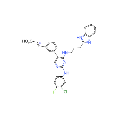 O=C(O)/C=C/c1cccc(-c2cnc(Nc3ccc(F)c(Cl)c3)nc2NCCCc2nc3ccccc3[nH]2)c1